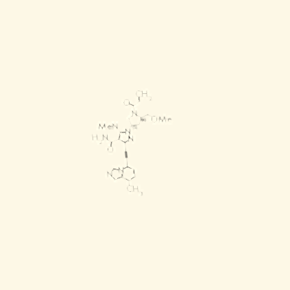 C=CC(=O)N1C[C@@H](n2nc(C#Cc3ccc(C)c4cncn34)c(C(N)=O)c2NC)C[C@@H]1COC